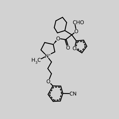 C[N+]1(CCCOc2cccc(C#N)c2)CC[C@@H](OC(=O)C(OC=O)(c2ccco2)C2CCCCC2)C1